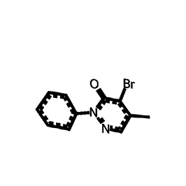 Cc1cnn(-c2ccccc2)c(=O)c1Br